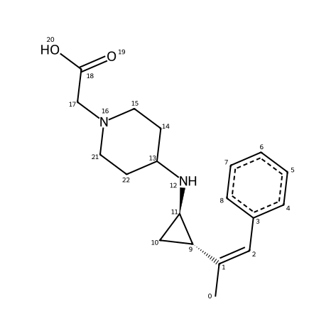 CC(=Cc1ccccc1)[C@@H]1C[C@H]1NC1CCN(CC(=O)O)CC1